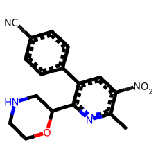 Cc1nc(C2CNCCO2)c(-c2ccc(C#N)cc2)cc1[N+](=O)[O-]